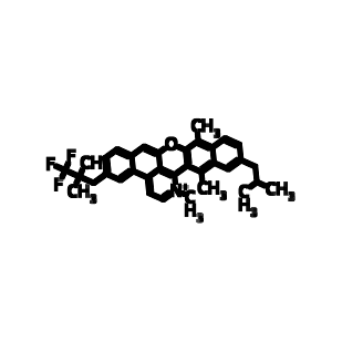 Cc1c2c(c(C)c3cc(CC(C)C)ccc13)-c1c3c(cc4ccc(CC(C)(C)C(F)(F)F)cc4c3cc[n+]1C)O2